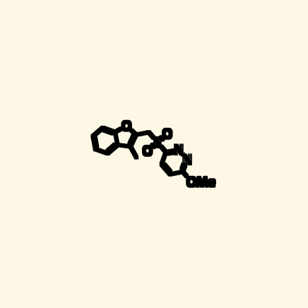 COc1ccc(S(=O)(=O)Cc2oc3ccccc3c2C)nn1